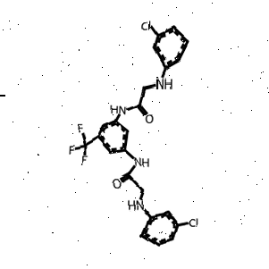 O=C(CNc1cccc(Cl)c1)Nc1cc(NC(=O)CNc2cccc(Cl)c2)cc(C(F)(F)F)c1